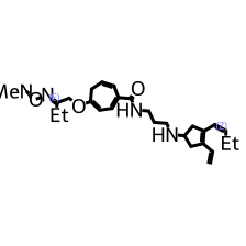 C=CC1=C(/C=C\CC)CC(NCCCNC(=O)C2=CC=C(OC/C(CC)=N/ONC)CC=C2)C1